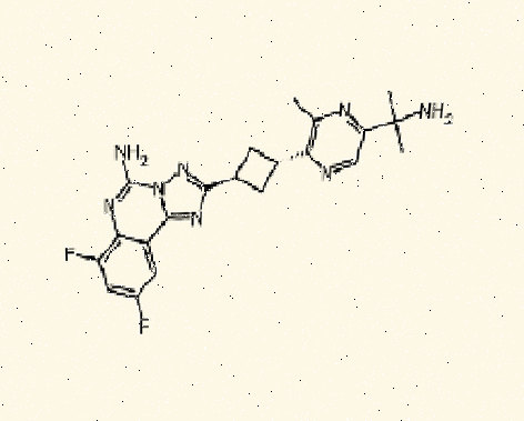 Cc1nc(C(C)(C)N)cnc1[C@H]1C[C@H](c2nc3c4cc(F)cc(F)c4nc(N)n3n2)C1